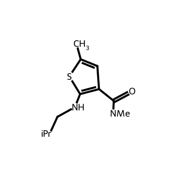 CNC(=O)c1cc(C)sc1NCC(C)C